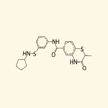 CC1Sc2ccc(C(=O)Nc3cccc(SNC4CCCC4)c3)cc2NC1=O